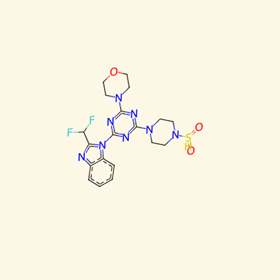 O=[SH](=O)N1CCN(c2nc(N3CCOCC3)nc(-n3c(C(F)F)nc4ccccc43)n2)CC1